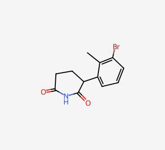 Cc1c(Br)cccc1C1CCC(=O)NC1=O